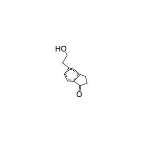 O=C1CCc2cc(CCO)ccc21